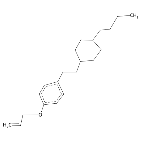 C=CCOc1ccc(CCC2CCC(CCCC)CC2)cc1